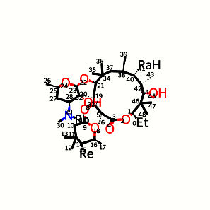 CC[C@H]1OC(=O)[C@H](C)[C@@H](O[C@H]2CC(C)(C)[C@@H]([Re])[C@H](C)O2)[C@H](C)[C@@H](O[C@@H]2O[C@H](C)C[C@H]([N](C)[Rb])[C@H]2O)C(C)(C)C[C@@H](C)[C@H]([RaH])[C@H](C)[C@@H](O)C1(C)C